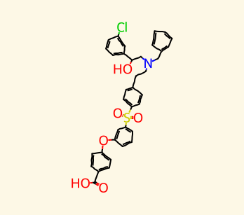 O=C(O)c1ccc(Oc2cccc(S(=O)(=O)c3ccc(CCN(Cc4ccccc4)CC(O)c4cccc(Cl)c4)cc3)c2)cc1